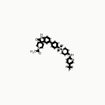 CC(=O)N1CCC2(CC1)C(=O)Nc1ccc(-c3ccc(S(=O)(=O)N4CCC(Nc5ccc(C(F)(F)F)cn5)CC4)cc3)cc12